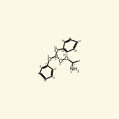 CC(N)OOB(Oc1ccccc1)Oc1ccccc1